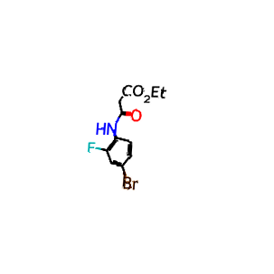 CCOC(=O)CC(=O)Nc1ccc(Br)cc1F